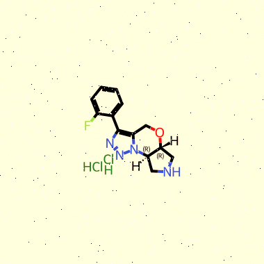 Cl.Cl.Fc1ccccc1-c1nnn2c1CO[C@@H]1CNC[C@H]12